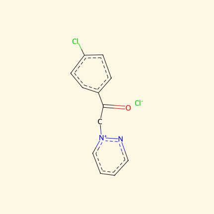 O=C(C[n+]1ccccn1)c1ccc(Cl)cc1.[Cl-]